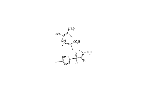 C/C=C(\C)C(=O)O.CC/C(=C(/C)C(=O)O)S(=O)(=O)c1ccc(C)cc1.CCC/C(O)=C(/C)C(=O)O